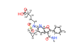 CNC(=O)c1c(-c2ccc(C)cc2)oc2nc(N(CCCC(C)(C)C(=O)O)S(C)(=O)=O)c(C3CC3)cc12